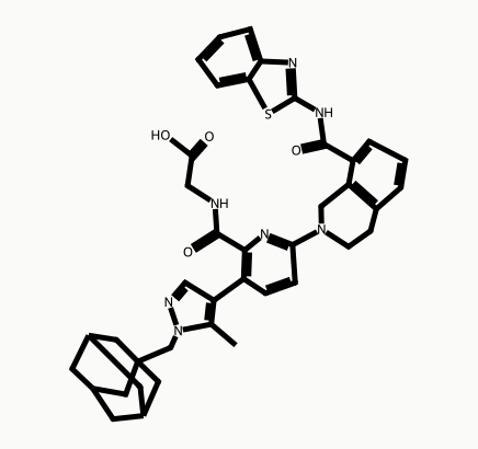 Cc1c(-c2ccc(N3CCc4cccc(C(=O)Nc5nc6ccccc6s5)c4C3)nc2C(=O)NCC(=O)O)cnn1CC12CC3CC(CC(C3)C1)C2